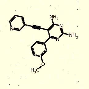 COc1cccc(-c2nc(N)nc(N)c2C#Cc2cccnc2)c1